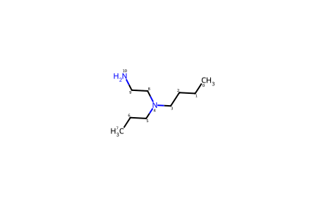 CCCCN(CCC)CCN